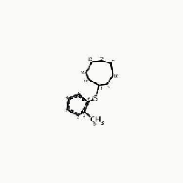 Cc1ccccc1SC1CCCCCCC1